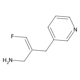 NCC(=CF)Cc1cccnc1